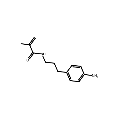 C=C(C)C(=O)NCCCc1ccc(N)cc1